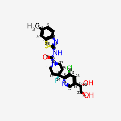 Cc1ccc2nc(NC(=O)N3CCC(F)(c4ncc([C@H](O)CO)cc4Cl)CC3)sc2c1